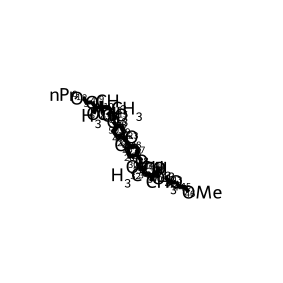 CCCOCCOC(=O)C(C)(C)CC(C)(C)C(=O)Oc1ccc(S(=O)(=O)c2ccc(OC(=O)C(C)(C)CC(C)(C)C(=O)OCCOCCOC)cc2)cc1